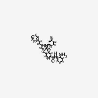 Nc1ccccc1NC(=O)c1ccc(CN(CCCCN2CCOCC2)C(=O)Nc2cccc(F)c2)cn1